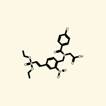 CCOP(=O)(C=Cc1ccc(CN(CC(=O)O)C(=O)c2ccc(Cl)cc2)c([N+](=O)[O-])c1)OCC